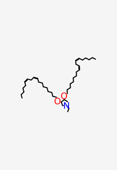 CCCCC/C=C\C/C=C\CCCCCCCCOC1CN(CC)C[C@H]1OCCCCCCCC/C=C\C/C=C\CCCCC